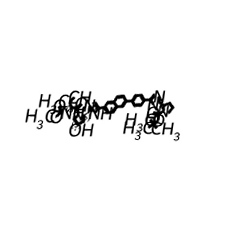 COC(=O)N[C@H](C(=O)N1C[C@@H](O)C[C@H]1c1ncc(-c2ccc3cc(-c4ccc(-c5cnc(C6CCCN6C(=O)OC(C)(C)C)[nH]5)cc4)ccc3c2)[nH]1)C(C)C